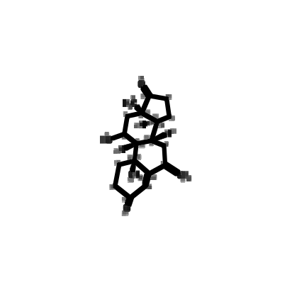 C=C1C[C@@H]2[C@@H](C(O)C[C@]3(C)C(=O)CC[C@@H]23)[C@@]2(C)CCC(=O)C=C12